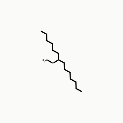 CCCCCCCC(CCCCCC)[O][AlH2]